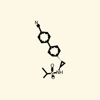 CC(C)S(=O)(=O)N[C@@H]1C[C@H]1c1ccc(-c2ccc(C#N)cc2)cc1